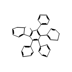 C1=CCC2Oc3c(c(-c4ccccc4)c(-c4ccccc4)c(C4=CCCC=C4)c3-c3ccccc3)C2=C1